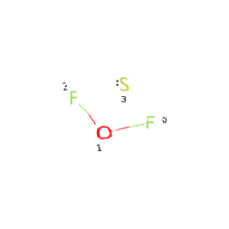 FOF.[S]